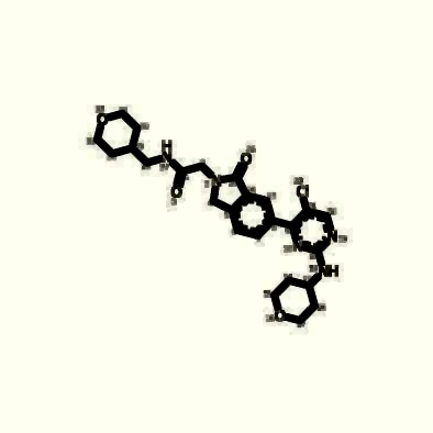 O=C(CN1Cc2ccc(-c3nc(NC4CCOCC4)ncc3Cl)cc2C1=O)NCC1CCOCC1